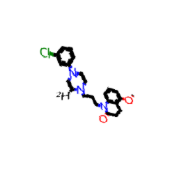 [2H]C1CN(c2cccc(Cl)c2)CCN1CCCN1C(=O)CCc2c(OC)cccc21